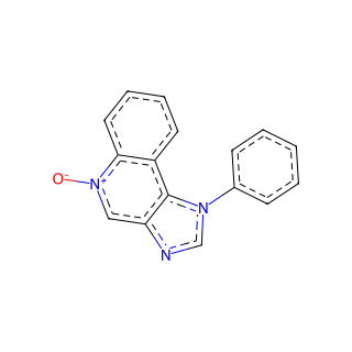 [O-][n+]1cc2ncn(-c3ccccc3)c2c2ccccc21